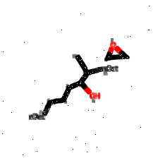 C1CO1.CCCCCCCCCCCCCC(O)C(C)CCCCCCCC